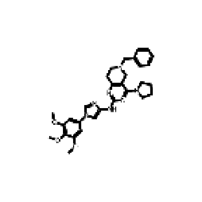 COc1cc(-n2cnc(Nc3nc4c(c(N5CCCC5)n3)CN(Cc3ccccc3)CC4)c2)cc(OC)c1OC